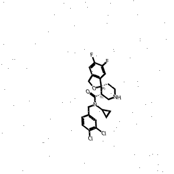 O=C([C@H]1CNCC[C@@]12OCc1cc(F)c(F)cc12)N(Cc1ccc(Cl)c(Cl)c1)C1CC1